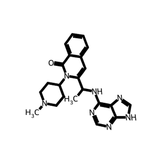 CC(Nc1ncnc2[nH]cnc12)c1cc2ccccc2c(=O)n1C1CCN(C)CC1